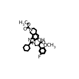 COC(=O)N1CCc2ccc3c(nc(C4CCCCC4)n3C[C@@H](C(=O)O)c3cc(F)ccc3OC)c2C1